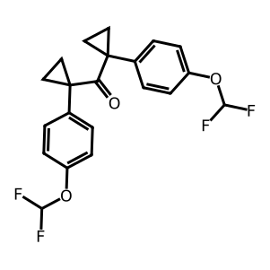 O=C(C1(c2ccc(OC(F)F)cc2)CC1)C1(c2ccc(OC(F)F)cc2)CC1